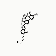 C=CCCc1ccc(OC(F)(F)c2ccc3c(c2F)C(F)(F)C(F)(F)c2c-3ccc(CCC)c2F)c(F)c1F